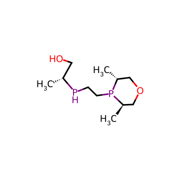 C[C@H](CO)PCCP1[C@H](C)COC[C@H]1C